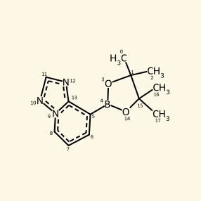 CC1(C)OB(c2cccn3ncnc23)OC1(C)C